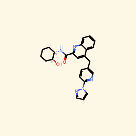 O=C(N[C@H]1CCCC[C@@H]1O)c1cc(Cc2ccc(-n3cccn3)nc2)c2ccccc2n1